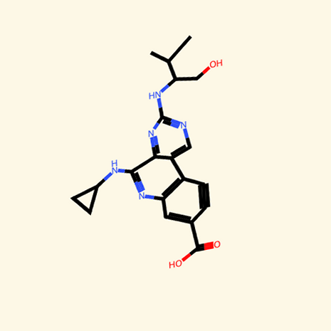 CC(C)C(CO)Nc1ncc2c(n1)c(NC1CC1)nc1cc(C(=O)O)c#cc12